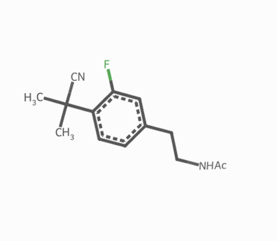 CC(=O)NCCc1ccc(C(C)(C)C#N)c(F)c1